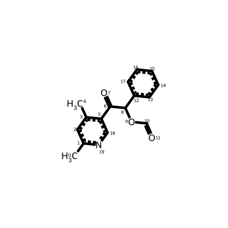 Cc1cc(C)c(C(=O)C(OC=O)c2ccccc2)cn1